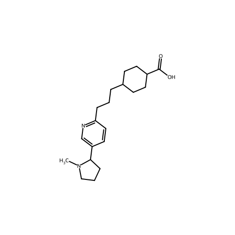 CN1CCCC1c1ccc(CCCC2CCC(C(=O)O)CC2)nc1